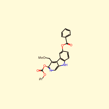 COCc1c(OC(=O)OC(C)C)ncc2[nH]c3ccc(OC(=O)c4ccccc4)cc3c12